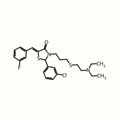 CCN(CC)CCSCCCN1C(=O)C(=Cc2cccc(F)c2)SC1c1cccc(Cl)c1